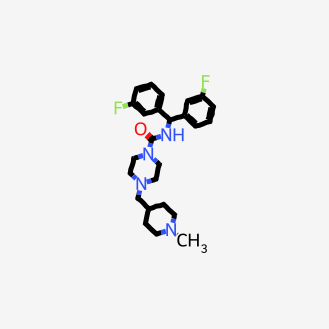 CN1CCC(CN2CCN(C(=O)NC(c3cccc(F)c3)c3cccc(F)c3)CC2)CC1